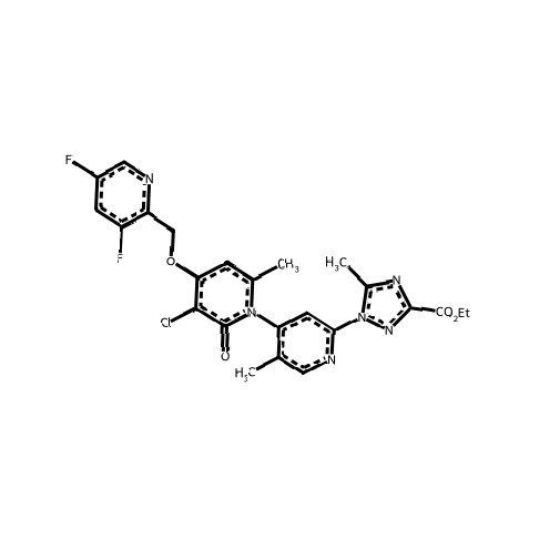 CCOC(=O)c1nc(C)n(-c2cc(-n3c(C)cc(OCc4ncc(F)cc4F)c(Cl)c3=O)c(C)cn2)n1